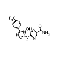 NC(=O)c1cnc(NC2ON=C(c3ccc(C(F)(F)F)cc3)N2O)cn1